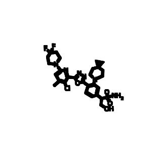 Cc1cc(N2CCC(F)(F)CC2)nc(-c2nnc(-c3ccc(C(CO)S(N)(=O)=O)cc3N3CCC4(CC3)CC4)o2)c1Cl